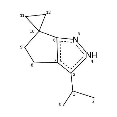 CC(C)c1[nH]nc2c1CCC21CC1